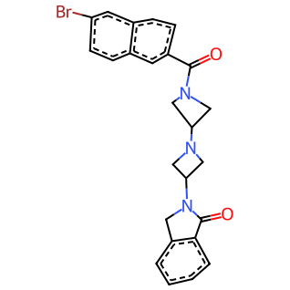 O=C(c1ccc2cc(Br)ccc2c1)N1CC(N2CC(N3Cc4ccccc4C3=O)C2)C1